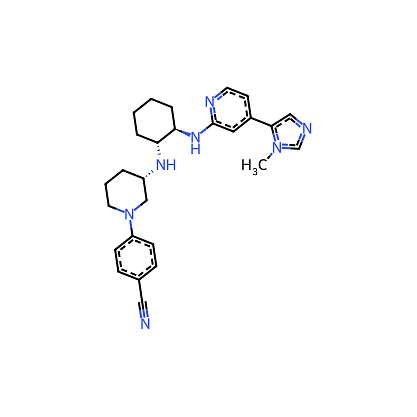 Cn1cncc1-c1ccnc(N[C@@H]2CCCC[C@H]2N[C@H]2CCCN(c3ccc(C#N)cc3)C2)c1